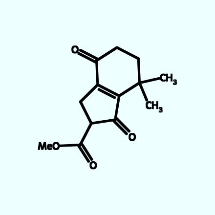 COC(=O)C1CC2=C(C1=O)C(C)(C)CCC2=O